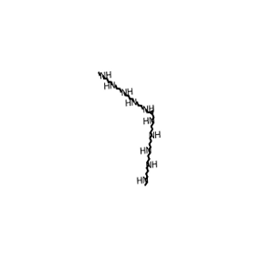 CCNCCCCNCCCCNCCCCNCCCCNCC1CC1CNCCCCNCCCCNCCCCNCCCCNCC